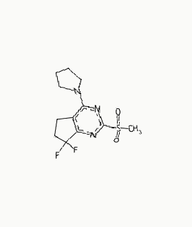 CS(=O)(=O)c1nc(N2CCCC2)c2c(n1)C(F)(F)CC2